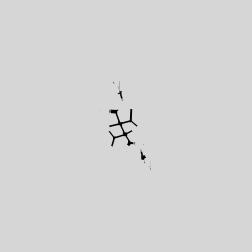 CC(C)C(C)(C(=O)OC#N)C(C)(C(=O)OC#N)C(C)C